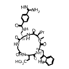 CC(C)C1C(=O)N[C@@H](CNC(=O)c2ccc(C(=N)N)cc2)C(=O)NCC(=O)NC(CC(=O)O)C(=O)N[C@H](Cc2c[nH]c3ccccc23)C(=O)N1C